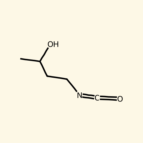 CC(O)CCN=C=O